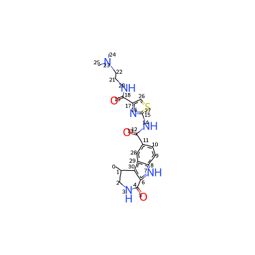 CC1CNC(=O)c2[nH]c3ccc(C(=O)Nc4nc(C(=O)NCCN(C)C)cs4)cc3c21